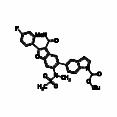 CNC(=O)c1c(-c2ccc(F)cc2)oc2cc(N(C)S(C)(=O)=O)c(-c3ccc4c(ccn4C(=O)OC(C)(C)C)c3)cc12